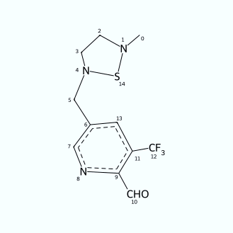 CN1CCN(Cc2cnc(C=O)c(C(F)(F)F)c2)S1